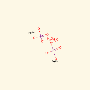 O.O.O=P([O-])([O-])[O-].O=P([O-])([O-])[O-].[Fe+3].[Fe+3]